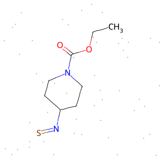 CCOC(=O)N1CCC(N=S)CC1